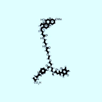 CO[C@H]1CC[C@]2(C)[C@H](C1)C[C@H](O)[C@H]1[C@H]2CC[C@]2(C)[C@@H]1CC[C@H]2[C@@H](C)CCC(=O)NCCCNC(=O)CCOCCOCCN(CCN(C)C(=O)CC(C)(C)C1=C(C)C(=O)C(C)=C(C)C1=O)C(=O)Oc1ccc2nc(C3=NC(C(=O)O)CS3)sc2c1